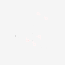 Cc1cc(-c2ccc(S(C)(=O)=O)cc2)c(Oc2ccc(F)cc2)c(=O)o1